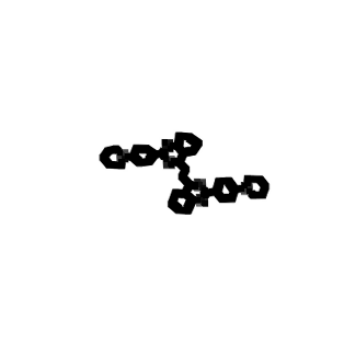 c1ccc2c(CCc3nc(-c4ccc(N5CCCCC5)cc4)nc4ccccc34)nc(-c3ccc(N4CCCCC4)cc3)nc2c1